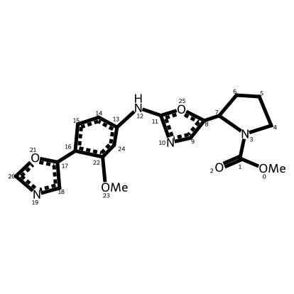 COC(=O)N1CCCC1c1cnc(Nc2ccc(-c3cnco3)c(OC)c2)o1